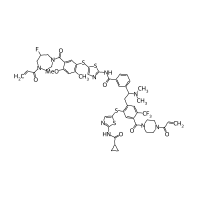 C=CC(=O)N1CCN(C(=O)c2cc(Sc3cnc(NC(=O)C4CC4)s3)c(CC(c3cccc(C(=O)Nc4ncc(Sc5cc(C(=O)N6CCN(C(=O)C=C)CC(F)C6)c(OC)cc5C)s4)c3)N(C)C)cc2C(F)(F)F)CC1